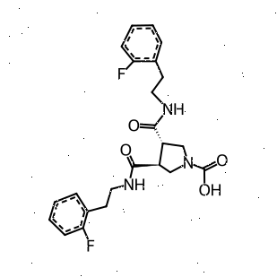 O=C(NCCc1ccccc1F)[C@@H]1CN(C(=O)O)C[C@H]1C(=O)NCCc1ccccc1F